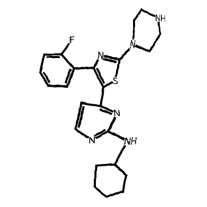 Fc1ccccc1-c1nc(N2CCNCC2)sc1-c1ccnc(NC2CCCCC2)n1